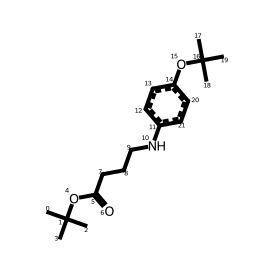 CC(C)(C)OC(=O)CCCNc1ccc(OC(C)(C)C)cc1